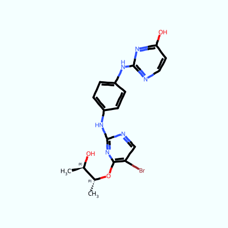 C[C@@H](O)[C@@H](C)Oc1nc(Nc2ccc(Nc3nccc(O)n3)cc2)ncc1Br